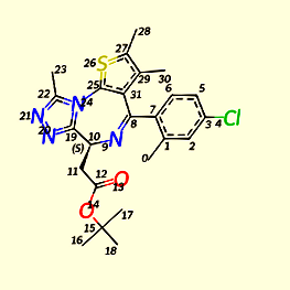 Cc1cc(Cl)ccc1C1=N[C@@H](CC(=O)OC(C)(C)C)c2nnc(C)n2-c2sc(C)c(C)c21